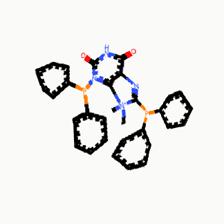 C[N+]1(C)C(P(c2ccccc2)c2ccccc2)=Nc2c1n(P(c1ccccc1)c1ccccc1)c(=O)[nH]c2=O